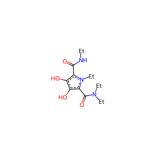 CCNC(=O)c1c(O)c(O)c(C(=O)N(CC)CC)n1CC